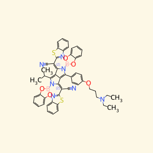 CCN(CC)CCCOc1ccc(-c2c3/c(=C(\C#N)c4nc5ccccc5s4)n(B4Oc5ccccc5O4)c(C(C)C)c3/c(=C(\C#N)c3nc4ccccc4s3)n2B2Oc3ccccc3O2)cc1